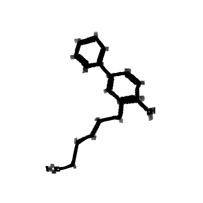 CCCCCCc1cc(-c2ccccc2)ccc1O